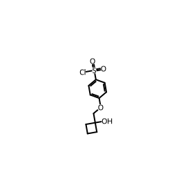 O=S(=O)(Cl)c1ccc(OCC2(O)CCC2)cc1